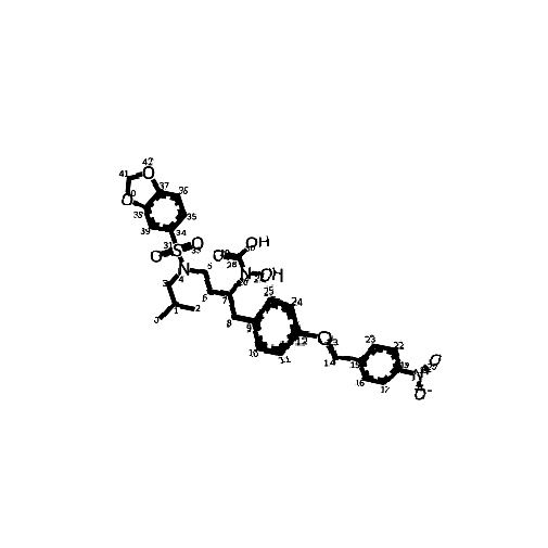 CC(C)CN(CCC(Cc1ccc(OCc2ccc([N+](=O)[O-])cc2)cc1)N(O)C(=O)O)S(=O)(=O)c1ccc2c(c1)OCO2